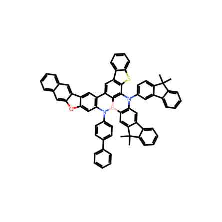 CC1(C)c2ccccc2-c2cc(N3c4cc5c(cc4B4c6c(cc7c(sc8ccccc87)c63)-c3cc6c(cc3N4c3ccc(-c4ccccc4)cc3)oc3cc4ccccc4cc36)C(C)(C)c3ccccc3-5)ccc21